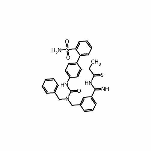 CCC(=S)NC(=N)c1cccc(CN(Cc2ccccc2)C(=O)Nc2ccc(-c3ccccc3S(N)(=O)=O)cc2)c1